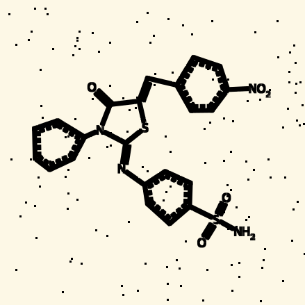 NS(=O)(=O)c1ccc(/N=C2\SC(=Cc3ccc([N+](=O)[O-])cc3)C(=O)N2c2ccccc2)cc1